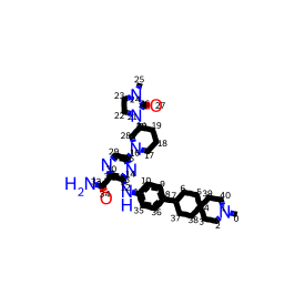 CN1CCC2(CCC(c3ccc(Nc4nc(N5CCC[C@@H](N6CCN(C)C6=O)C5)cnc4C(N)=O)cc3)CC2)CC1